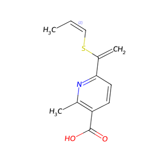 C=C(S/C=C\C)c1ccc(C(=O)O)c(C)n1